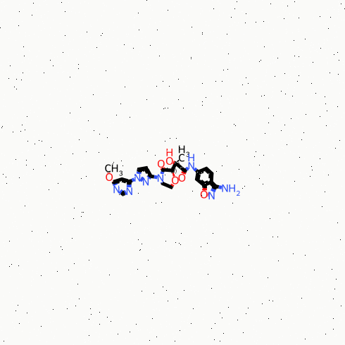 COc1cc(-n2ccc(N3CCO[C@H]([C@@](C)(O)C(=O)Nc4ccc5c(N)noc5c4)C3=O)n2)ncn1